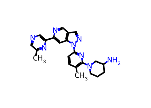 Cc1cncc(-c2cc3c(cn2)cnn3-c2ccc(C)c(N3CCCC(N)C3)n2)n1